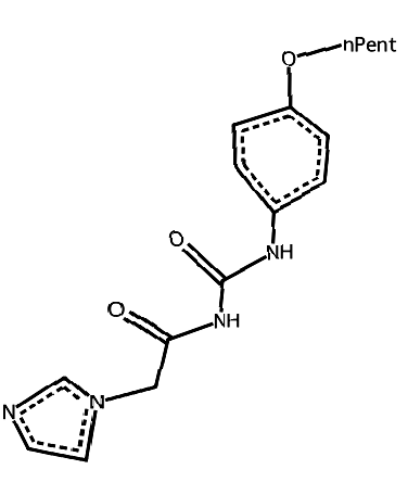 CCCCCOc1ccc(NC(=O)NC(=O)Cn2ccnc2)cc1